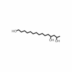 CC(O)CC(O)CCCCCCCCCCCO